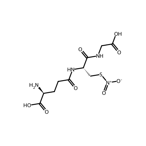 N[C@@H](CCC(=O)N[C@@H](CS[N+](=O)[O-])C(=O)NCC(=O)O)C(=O)O